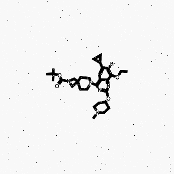 CCOc1c(Br)c(C2CC2)cc2c(N3CCC4(CC3)CN(C(=O)OC(C)(C)C)C4)nc(OC3CCN(C)CC3)nc12